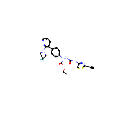 C#Cc1nc(NC(=O)NN(C(=O)OCC)c2ccc(-c3cccnc3N3CC(F)(F)C3)cc2)cs1